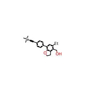 CCc1cc(-c2ccc(C#C[Si](C)(C)C)cc2)c2c(c1CO)CCO2